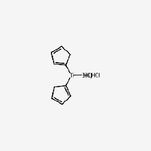 Cl.Cl.[SiH3][Ti]([C]1=CC=CC1)[C]1=CC=CC1